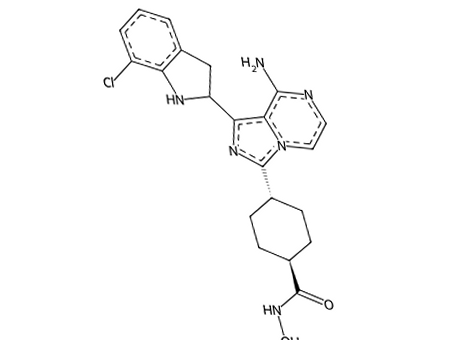 Nc1nccn2c1c(C1Cc3cccc(Cl)c3N1)nc2[C@H]1CC[C@H](C(=O)NO)CC1